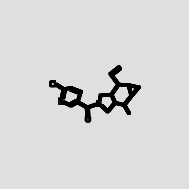 C=CC1C2CC2C(C)C2CN(C(=O)c3ccc(Cl)nc3)CC12